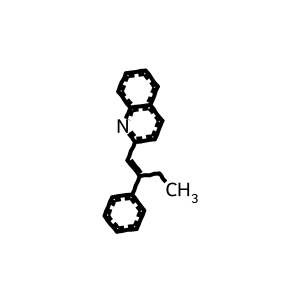 CC/C(=C\c1ccc2ccccc2n1)c1ccccc1